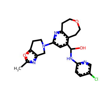 Cc1nc2c(o1)CCN(c1cc(C(O)Nc3ccc(Cl)cn3)c3c(n1)CCOCC3)C2